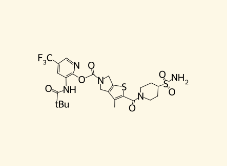 Cc1c(C(=O)N2CCC(S(N)(=O)=O)CC2)sc2c1CN(C(=O)Oc1ncc(C(F)(F)F)cc1NC(=O)C(C)(C)C)C2